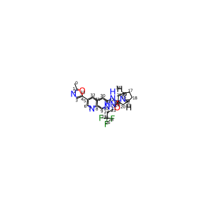 Cc1ncc(-c2cnc3cnc(NC(=O)N4[C@@H]5CC[C@H]4C[C@H](NCCC(F)(F)F)C5)cc3c2)o1